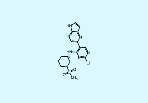 CS(=O)(=O)N1CCC[C@H](Nc2nc(Cl)ncc2-c2cnc3[nH]ccc3n2)C1